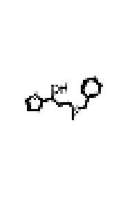 CN(CC[C@H](O)C1CC=CS1)Cc1ccccc1